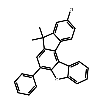 CC1(C)c2cc(Cl)ccc2-c2c1cc(-c1ccccc1)c1oc3ccccc3c21